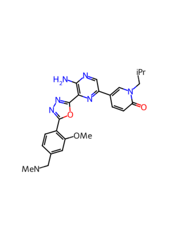 CNCc1ccc(-c2nnc(-c3nc(-c4ccc(=O)n(CC(C)C)c4)cnc3N)o2)c(OC)c1